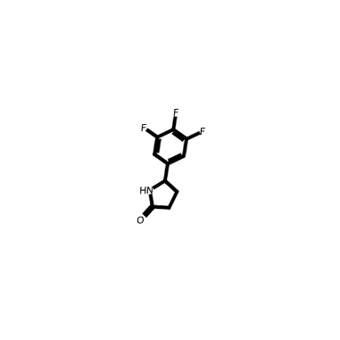 O=C1CCC(c2cc(F)c(F)c(F)c2)N1